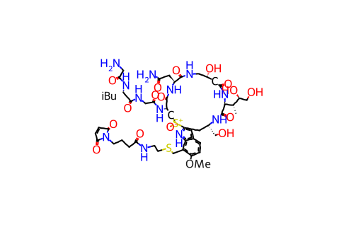 CC[C@H](C)[C@H](NC(=O)CN)C(=O)NCC(=O)N[C@H]1C[S+]([O-])c2[nH]c3c(CSCCNC(=O)CCCN4C(=O)C=CC4=O)c(OC)ccc3c2C[C@@H](CO)NC(=O)[C@H]([C@@H](C)[C@@H](O)CO)NC(=O)C[C@@H](O)CNC(=O)[C@H](CC(N)=O)NC1=O